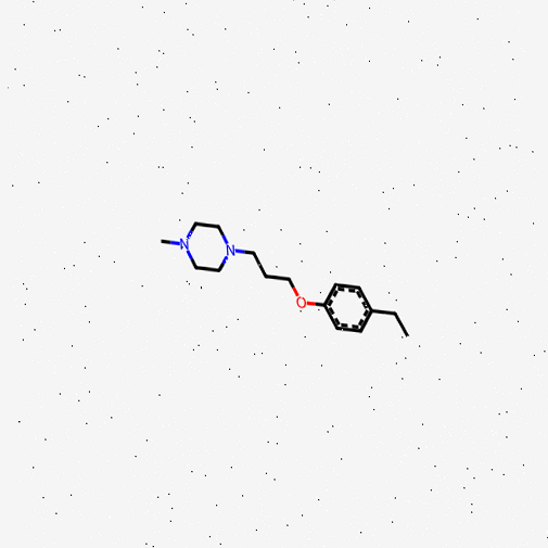 CCc1ccc(OCCCN2CCN(C)CC2)cc1